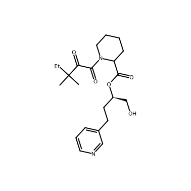 CCC(C)(C)C(=O)C(=O)N1CCCCC1C(=O)O[C@@H](CO)CCc1cccnc1